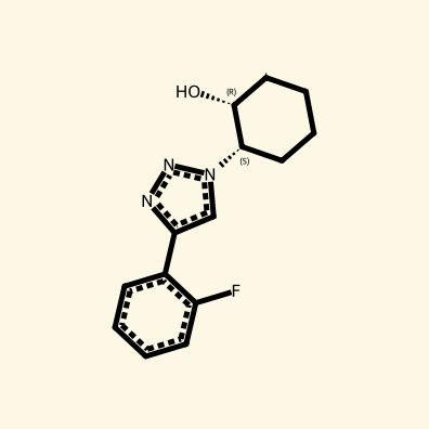 O[C@@H]1[CH]CCC[C@@H]1n1cc(-c2ccccc2F)nn1